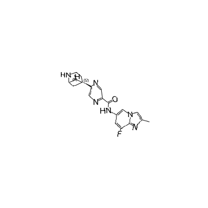 Cc1cn2cc(NC(=O)c3cnc([C@@]45CCNC(C4)[C@@H]5C)cn3)cc(F)c2n1